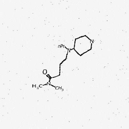 CCCN(CCCC(=O)N(C)C)C1CC[N]CC1